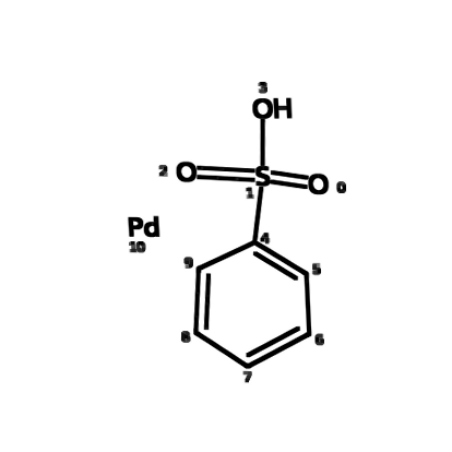 O=S(=O)(O)c1ccccc1.[Pd]